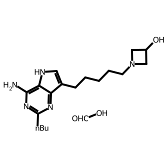 CCCCc1nc(N)c2[nH]cc(CCCCCN3CC(O)C3)c2n1.O=CO